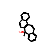 CC1(O)c2ccccc2C=Cc2c1ccc1ccccc21